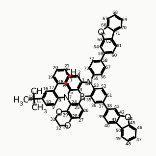 Cc1cc2c3c(c1)N(c1ccc(C(C)(C)C)cc1-c1ccccc1)c1c(ccc4c1OCCO4)B3c1cc(-c3ccc4c(c3)oc3ccccc34)ccc1N2c1ccc(-c2ccc3c(c2)oc2ccccc23)cc1